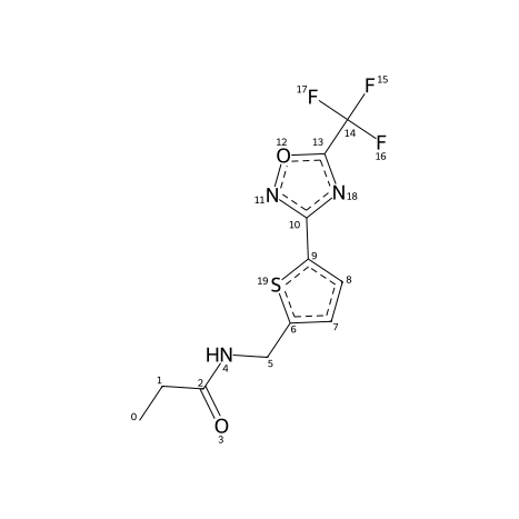 CCC(=O)NCc1ccc(-c2noc(C(F)(F)F)n2)s1